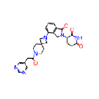 O=C1CCC(N2Cc3c(cccc3N3CC4(CCN(C(=O)Cc5cncnc5)CC4)C3)C2=O)C(=O)N1